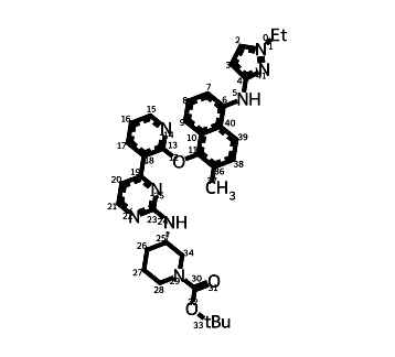 CCn1ccc(Nc2cccc3c(Oc4ncccc4-c4ccnc(N[C@H]5CCCN(C(=O)OC(C)(C)C)C5)n4)c(C)ccc23)n1